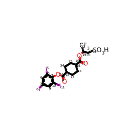 O=C(Oc1c(I)cc(I)cc1I)C1CCC(C(=O)OC(CS(=O)(=O)O)C(F)(F)F)CC1